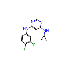 Fc1ccc(Nc2cc(NC3CC3)ncn2)cc1F